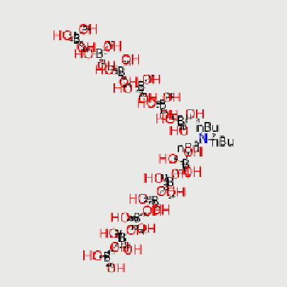 CCCCN(CCCC)CCCC.OB(O)O.OB(O)O.OB(O)O.OB(O)O.OB(O)O.OB(O)O.OB(O)O.OB(O)O.OB(O)O.OB(O)O.OB(O)O.OB(O)O